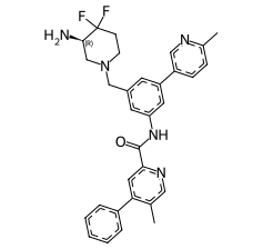 Cc1ccc(-c2cc(CN3CCC(F)(F)[C@H](N)C3)cc(NC(=O)c3cc(-c4ccccc4)c(C)cn3)c2)cn1